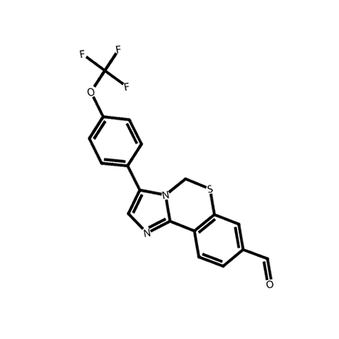 O=Cc1ccc2c(c1)SCn1c(-c3ccc(OC(F)(F)F)cc3)cnc1-2